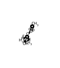 Cc1ccc(S(=O)(=O)OCCOc2cc(C(F)(F)F)c3c(c2)ncn3C(C)(C)CO)cc1